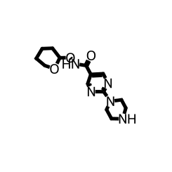 O=C(NOC1CCCCO1)c1cnc(N2CCNCC2)nc1